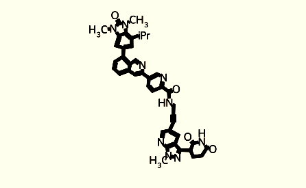 CC(C)c1cc(-c2cccc3cc(-c4ccc(C(=O)NCC#Cc5cnc6c(c5)c(C5CCC(=O)NC5=O)nn6C)nc4)ncc23)cc2c1n(C)c(=O)n2C